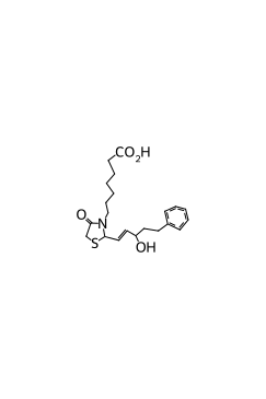 O=C(O)CCCCCCN1C(=O)CSC1/C=C/C(O)CCc1ccccc1